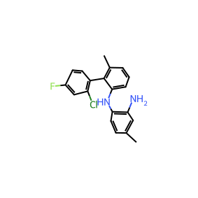 Cc1ccc(Nc2cccc(C)c2-c2ccc(F)cc2Cl)c(N)c1